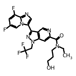 CCN(CCCO)C(=O)c1cc2c(cn1)c(-c1cnc3c(F)cc(F)cn13)nn2CC(F)(F)F